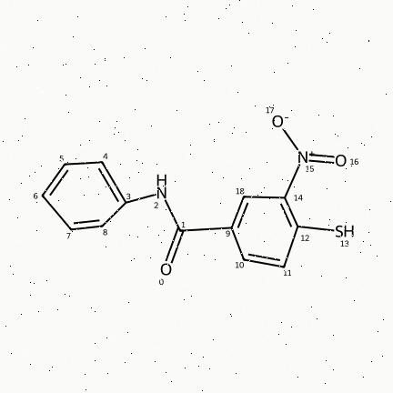 O=C(Nc1ccccc1)c1ccc(S)c([N+](=O)[O-])c1